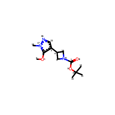 COc1c(C2CN(C(=O)OC(C)(C)C)C2)cnn1C